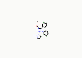 CCOC(=O)c1nc([C@H]2CCCN2)n(-c2cccc(Cl)c2F)c1-c1ccc(F)c(Cl)c1